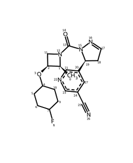 C[C@H]1[C@@H](OC2CCC(F)CC2)CN1C(=O)N1N=CC[C@H]1c1cncc(C#N)c1